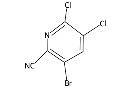 N#Cc1nc(Cl)c(Cl)cc1Br